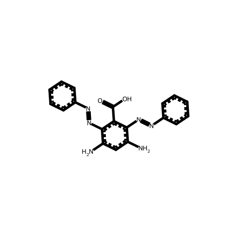 Nc1cc(N)c(N=Nc2ccccc2)c(C(=O)O)c1N=Nc1ccccc1